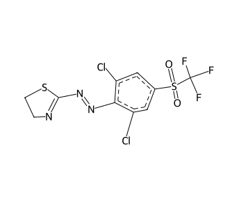 O=S(=O)(c1cc(Cl)c(/N=N/C2=NCCS2)c(Cl)c1)C(F)(F)F